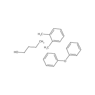 CCCCO.Cc1ccccc1C.c1ccc(Oc2ccccc2)cc1